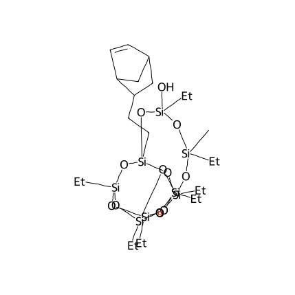 CC[Si]1(C)O[Si](O)(CC)O[Si]2(CCC3CC4C=CC3C4)O[Si]3(CC)O[Si]4(CC)O[Si](CC)(O1)O[Si](CC)(O3)O[Si](CC)(O2)O4